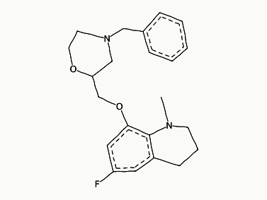 CN1CCCc2cc(F)cc(OCC3CN(Cc4ccccc4)CCO3)c21